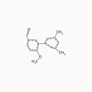 COc1ccc(C=O)cc1-c1cc(C)cc(C)c1